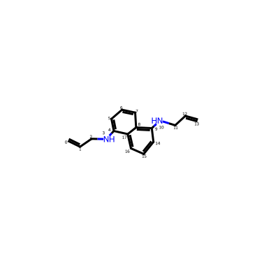 C=CCNc1cccc2c(NCC=C)cccc12